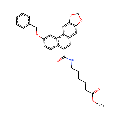 COC(=O)CCCCCNC(=O)c1cc2cc3c(cc2c2cc(OCc4ccccc4)ccc12)OCO3